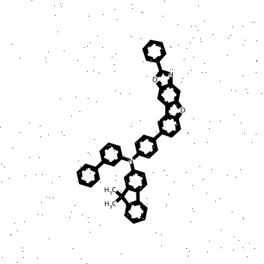 CC1(C)c2ccccc2-c2ccc(N(c3ccc(-c4ccc5oc6cc7nc(-c8ccccc8)oc7cc6c5c4)cc3)c3cccc(-c4ccccc4)c3)cc21